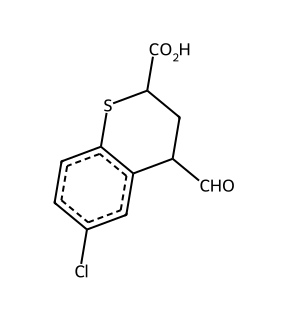 O=CC1CC(C(=O)O)Sc2ccc(Cl)cc21